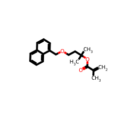 C=C(C)C(=O)OC(C)(C)CCOCc1cccc2ccccc12